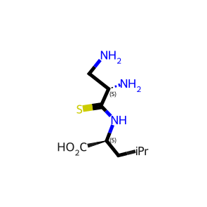 CC(C)C[C@H](NC(=S)[C@@H](N)CN)C(=O)O